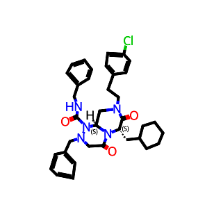 O=C1[C@H](CC2CCCCC2)N2C(=O)CN(Cc3ccccc3)N(C(=O)NCc3ccccc3)[C@H]2CN1CCc1ccc(Cl)cc1